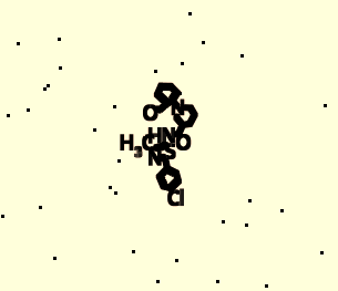 Cc1nc(-c2ccc(Cl)cc2)sc1NC(=O)C1CCCN(c2ccccc2C=O)C1